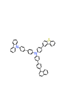 c1ccc2c(-c3ccc(-c4ccc(N(c5ccc(-c6ccc(-n7c8ccccc8c8ccccc87)cc6)cc5)c5ccc(-c6ccc7sc8ccccc8c7c6)cc5)cc4)cc3)cccc2c1